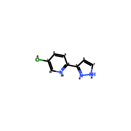 Clc1ccc(-c2[c]c[nH]n2)nc1